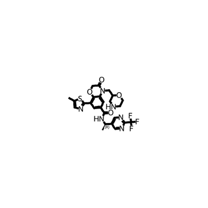 Cc1cnc(-c2cc(C(=O)N[C@H](C)c3cnc(C(F)(F)F)nc3)cc3c2OCC(=O)N3CC2CNCCO2)s1